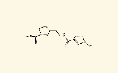 CNC(=O)C1CC(CCNC(=O)c2ccn(C(C)C)n2)CO1